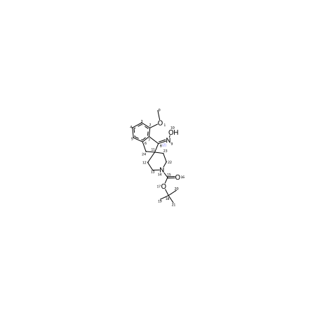 COc1cccc2c1/C(=N\O)C1(CCN(C(=O)OC(C)(C)C)CC1)C2